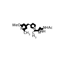 COc1cc(C[C@H]2CCN(C(C)c3cc(NC(C)=O)[nH]n3)C2)cc(C)n1